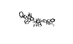 COC(C)(C)Cn1cnc2ccc(Sc3nc(CO)c(N4CCC5(CC4)Cc4ccccc4[C@H]5N)nc3C)c(Cl)c2c1=O